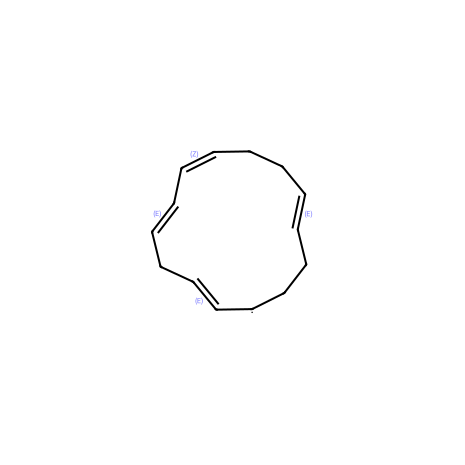 [CH]1/C=C/C/C=C/C=C\CC/C=C/CC1